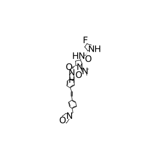 CN(C)C(=O)N1C[C@H](NC(=O)[C@@H]2C[C@H](F)CN2)C[C@@H]1C(=O)NCc1ccc(C#Cc2ccc(CN3CCOCC3)cc2)cc1